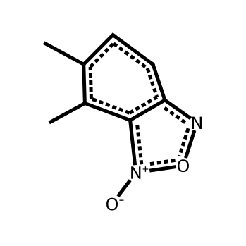 Cc1ccc2no[n+]([O-])c2c1C